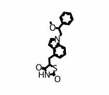 COC(Cn1ccc2c(CC3SC(=O)NC3=O)cccc21)c1ccccc1